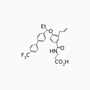 C=CCc1cc(C(=O)NCCC(=O)O)ccc1OC(CC)c1ccc(-c2ccc(C(F)(F)F)cc2)cc1